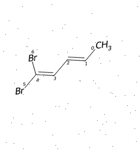 CC=CC=C(Br)Br